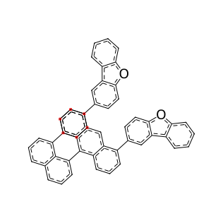 c1ccc(-c2cccc3cccc(-c4c5cccc(-c6ccc7oc8ccccc8c7c6)c5cc5c(-c6ccc7oc8ccccc8c7c6)cccc45)c23)cc1